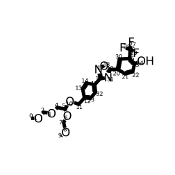 COCOCC(OCOC)OCc1ccc(-c2noc(-c3ccc(O)c(C(F)(F)F)c3)n2)cc1